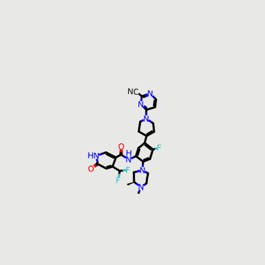 C[C@H]1CN(c2cc(F)c(C3=CCN(c4ccnc(C#N)n4)CC3)cc2NC(=O)c2c[nH]c(=O)cc2C(F)F)CCN1C